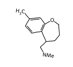 CNCC1CCCOc2cc(C)ccc21